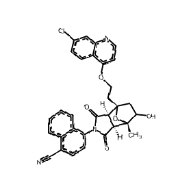 C[C@@]12O[C@@](CCOc3ccnc4cc(Cl)ccc34)(CC1O)[C@@H]1C(=O)N(c3ccc(C#N)c4ccccc34)C(=O)[C@@H]12